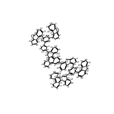 c1cc(-c2nc(-c3cccc4oc5ccccc5c34)nc(-c3cccc4oc5ccccc5c34)n2)cc(-c2cc3c4ccccc4c4cc(-c5cccc6c5sc5cccc(-c7nc(-c8cc9c%10ccccc%10c%10ccccc%10c9c9ccccc89)nc(-c8cccc9sc%10ccccc%10c89)n7)c56)ccc4c3c3ccccc23)c1